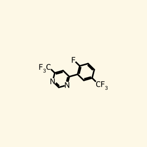 Fc1ccc(C(F)(F)F)cc1-c1cc(C(F)(F)F)ncn1